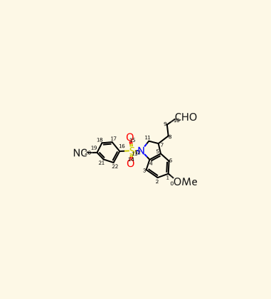 COc1ccc2c(c1)C(CCC=O)CN2S(=O)(=O)c1ccc(C#N)cc1